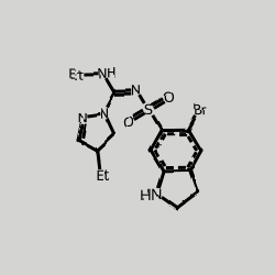 CCN/C(=N/S(=O)(=O)c1cc2c(cc1Br)CCN2)N1CC(CC)C=N1